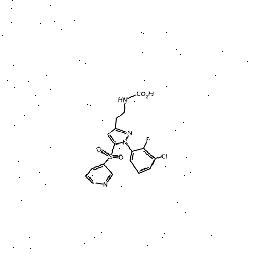 O=C(O)NCCc1cc(S(=O)(=O)c2cccnc2)n(-c2cccc(Cl)c2F)n1